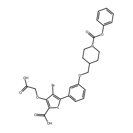 O=C(O)COc1c(C(=O)O)sc(-c2cccc(OCC3CCN(C(=O)Oc4ccccc4)CC3)c2)c1Br